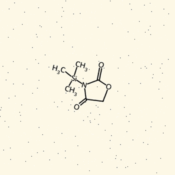 C[Si](C)(C)N1C(=O)COC1=O